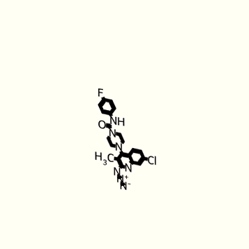 Cc1c(N=[N+]=[N-])nc2cc(Cl)ccc2c1N1CCN(C(=O)Nc2ccc(F)cc2)CC1